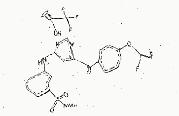 CNS(=O)(=O)c1cccc(Nc2cc(Nc3ccc(OC(F)F)cc3)ncn2)c1.O=C(O)C(F)(F)F